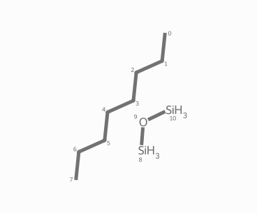 CCCCCCCC.[SiH3]O[SiH3]